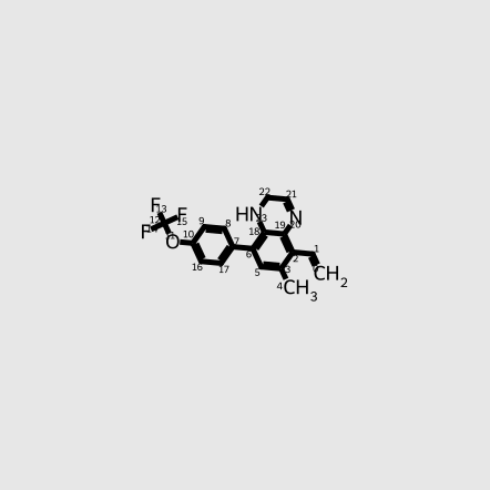 C=Cc1c(C)cc(-c2ccc(OC(F)(F)F)cc2)c2c1N=CCN2